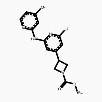 CC(C)(C)OC(=O)N1CC(c2cc(Cl)nc(Nc3cc(C#N)ccn3)c2)C1